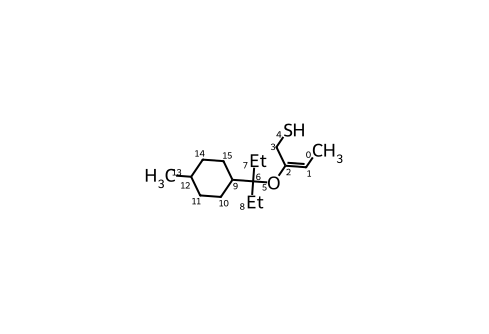 CC=C(CS)OC(CC)(CC)C1CCC(C)CC1